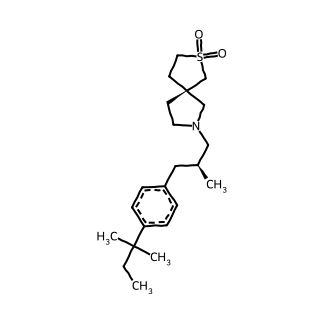 CCC(C)(C)c1ccc(C[C@H](C)CN2CC[C@]3(CCS(=O)(=O)C3)C2)cc1